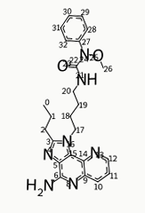 CCCc1nc2c(N)nc3cccnc3c2n1CCCCNC(=O)N(OC)c1ccccc1